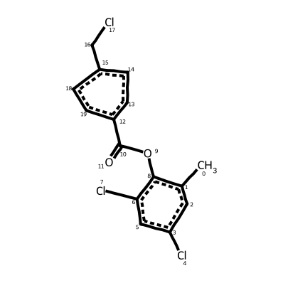 Cc1cc(Cl)cc(Cl)c1OC(=O)c1ccc(CCl)cc1